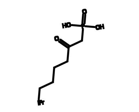 CC(C)CCCCC(=O)CP(=O)(O)O